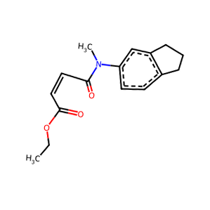 CCOC(=O)/C=C\C(=O)N(C)c1ccc2c(c1)CCC2